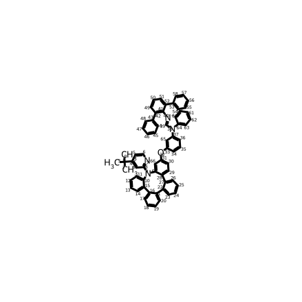 CC(C)(C)c1ccnc(-n2c3ccccc3c3ccccc3c3ccccc3c3ccc(Oc4cccc(-n5c[n+](-c6c(-c7ccccc7)cccc6-c6ccccc6)c6ccccc65)c4)cc32)c1